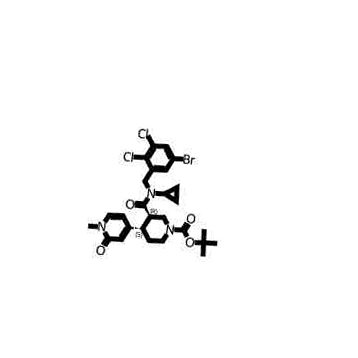 Cn1ccc([C@H]2CCN(C(=O)OC(C)(C)C)C[C@@H]2C(=O)N(Cc2cc(Br)cc(Cl)c2Cl)C2CC2)cc1=O